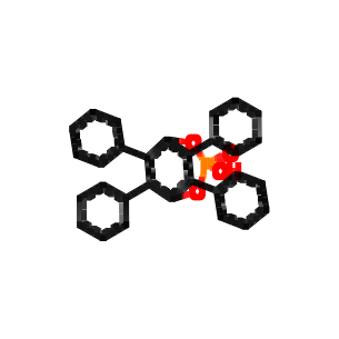 O=P1(O)Oc2c(-c3ccccc3)c(-c3ccccc3)c(c(-c3ccccc3)c2-c2ccccc2)O1